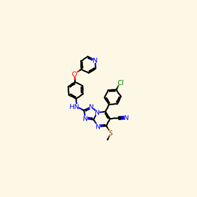 CSc1nc2nc(Nc3ccc(Oc4ccncc4)cc3)nn2c(-c2ccc(Cl)cc2)c1C#N